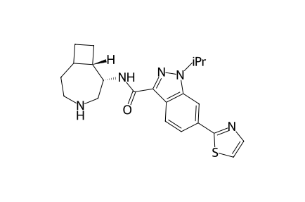 CC(C)n1nc(C(=O)N[C@@H]2CNCCC3CC[C@@H]32)c2ccc(-c3nccs3)cc21